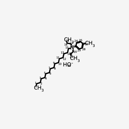 CCCCCCCCCCCCCCCC[N+](CCC)(CCC)c1ccc(C)cc1.[OH-]